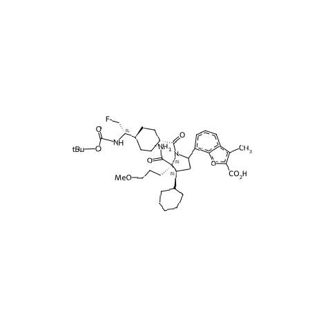 COCCC[C@@]1(C(N)=O)[C@H](C2CCCCC2)CC(c2cccc3c(C)c(C(=O)O)oc23)N1C(=O)[C@H]1CC[C@H]([C@@H](CF)NC(=O)OC(C)(C)C)CC1